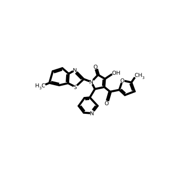 Cc1ccc2nc(N3C(=O)C(O)=C(C(=O)c4ccc(C)o4)C3c3cccnc3)sc2c1